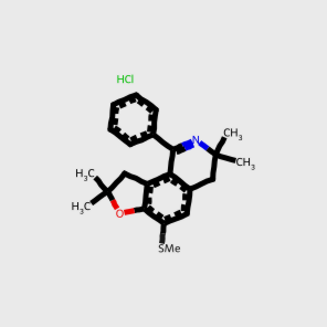 CSc1cc2c(c3c1OC(C)(C)C3)C(c1ccccc1)=NC(C)(C)C2.Cl